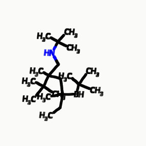 CCC(C)(BC(C)(C)C)CC(C)(CNC(C)(C)C)C(C)(C)C